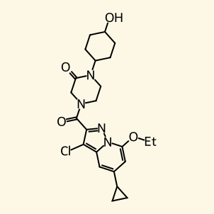 CCOc1cc(C2CC2)cc2c(Cl)c(C(=O)N3CCN(C4CCC(O)CC4)C(=O)C3)nn12